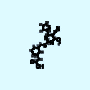 COc1nc(SCc2cccc(CC(=O)O)c2)nc(-c2cccs2)c1C#N